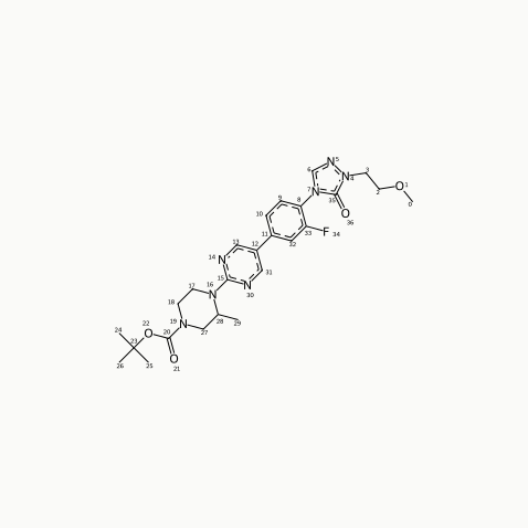 COCCn1ncn(-c2ccc(-c3cnc(N4CCN(C(=O)OC(C)(C)C)CC4C)nc3)cc2F)c1=O